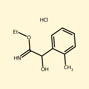 CCOC(=N)C(O)c1ccccc1C.Cl